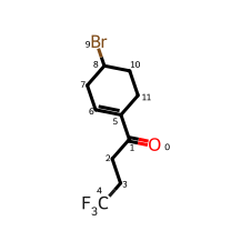 O=C(CCC(F)(F)F)C1=CCC(Br)CC1